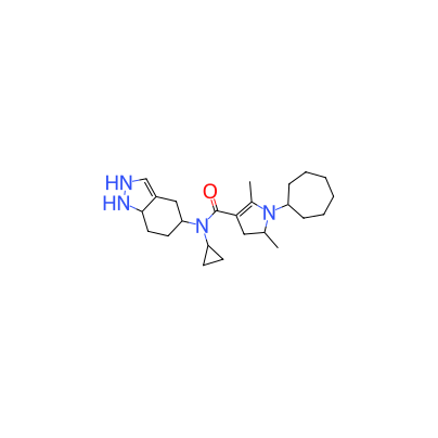 CC1=C(C(=O)N(C2CC2)C2CCC3NNC=C3C2)CC(C)N1C1CCCCCC1